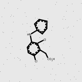 O=C(O)Cc1c(Cl)ccc(Nc2ccccc2)c1Cl